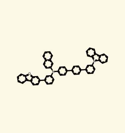 c1cc(-c2ccc3c(c2)oc2ccccc23)cc(N(c2ccc(-c3ccc(-c4cccc(-n5c6ccccc6c6ccccc65)c4)cc3)cc2)c2ccc3ccccc3c2)c1